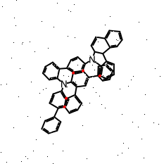 C1=CC2C(c3ccccc31)c1ccccc1N2c1ccc(-c2ccccc2N(c2ccc(-c3ccccc3)cc2)c2ccc(-c3ccccc3)cc2-c2ccccc2)cc1